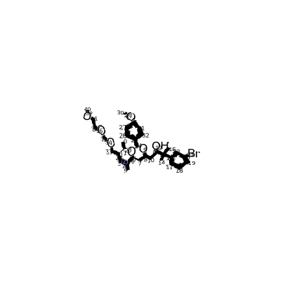 CC[C@H](/C=C(/C)[C@H](CC(=O)C[C@H](O)C(C)(C)c1cccc(Br)c1)OCc1ccc(OC)cc1)COCOCCOC